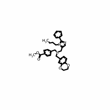 CCCCn1c(CN(Cc2ccc(C(=O)OC)cc2)Cc2ccc3c(c2)OCCO3)cnc1-c1ccccc1